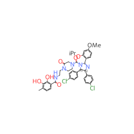 COc1ccc(C2=N[C@@H](c3ccc(Cl)cc3)[C@@H](c3ccc(Cl)cc3)N2C(=O)N2CCN(CCNC(=O)c3ccc(C)c(O)c3O)C(=O)C2)c(OC(C)C)c1